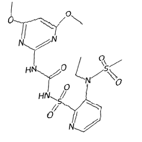 CCN(c1cccnc1S(=O)(=O)NC(=O)Nc1nc(OC)cc(OC)n1)S(C)(=O)=O